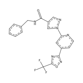 O=C(NCc1ccccc1)c1cnn(-c2cc(-c3noc(C(F)(F)F)n3)ccn2)c1